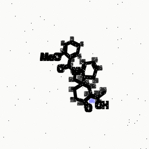 COc1ccccc1C(=O)NCC1(c2ccccc2)CCC(=O)/C(=C(/C)O)C1